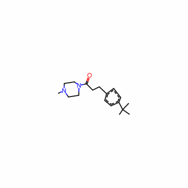 CN1CCN(C(=O)CCc2ccc(C(C)(C)C)cc2)CC1